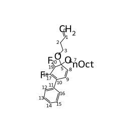 C=CCCOC1(OCCCCCCCC)C=CC(c2ccccc2)=C(F)C1F